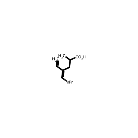 C=CC(=CCCC)CC(C)C(=O)O